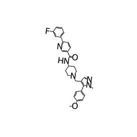 COc1ccc(-c2c(CN3CCC(NC(=O)c4ccc(-c5cccc(F)c5)nc4)CC3)cnn2C)cc1